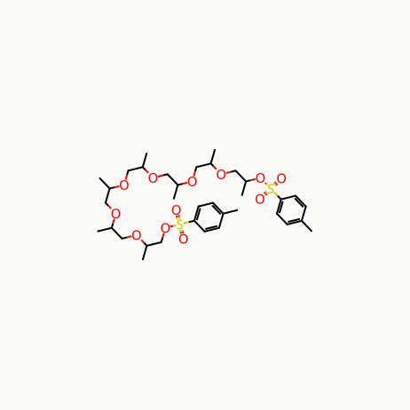 Cc1ccc(S(=O)(=O)OCC(C)OCC(C)OCC(C)OCC(C)OCC(C)OCC(C)OCC(C)OS(=O)(=O)c2ccc(C)cc2)cc1